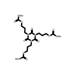 CNC(=O)OCCCn1c(=O)n(CCCOC(=O)NC)c(=O)n(CCCOC(=O)NC)c1=O